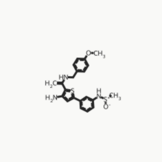 C=C(NCc1ccc(OC)cc1)c1sc(-c2cccc(N[S+](C)[O-])c2)cc1N